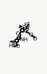 CCOc1cc2c(cc1C(=O)NC)C(=N)N(CC(=O)c1cc(OCCCOCCOC)c(OC(=O)C(F)(F)F)c(C(C)(C)C)c1)C2